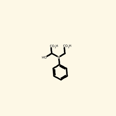 O=C(O)CN(c1ccccc1)C(O)C(=O)O